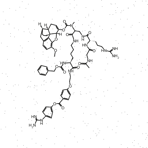 COc1ccc2c3c1O[C@H]1C(OC(=O)N(C)C(CNC(=O)[C@H](CCCNC(=N)N)NC(=O)CNC(C)=O)C(=O)NCCCC[C@H](NC(=O)OCc4ccccc4)C(=O)NCCOc4ccc(C(=O)Oc5ccc(NC(=N)N)cc5)cc4)=CC[C@H]4[C@H](CCC[C@]314)C2